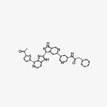 CC(=O)c1ccc(-c2nccc3[nH]c(-c4n[nH]c5cnc(-c6cncc(NC(=O)Cc7ccccc7)c6)cc45)nc23)s1